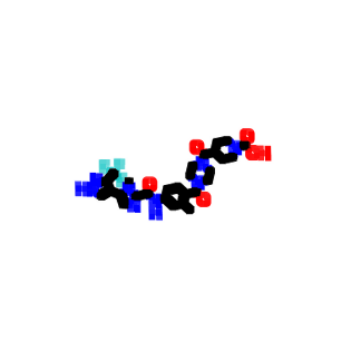 Cc1cc(NC(=O)c2ncc(-c3c[nH]nc3C(F)(F)F)n2C)ccc1C(=O)N1CCN(C(=O)C2CCN(C(=O)O)CC2)CC1